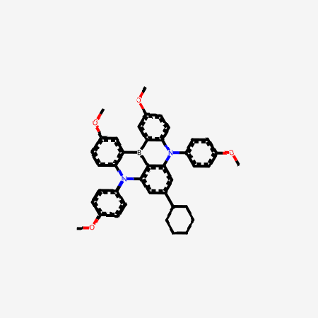 COc1ccc(N2c3ccc(OC)cc3B3c4cc(OC)ccc4N(c4ccc(OC)cc4)c4cc(C5CCCCC5)cc2c43)cc1